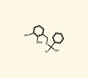 CCCc1cccc(COC(O)(CC)c2ccccc2)c1SC